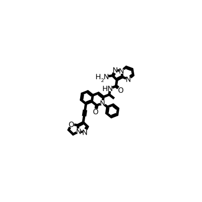 CC(NC(=O)c1c(N)nn2cccnc12)c1cc2cccc(C#Cc3cnn4c3OCC4)c2c(=O)n1-c1ccccc1